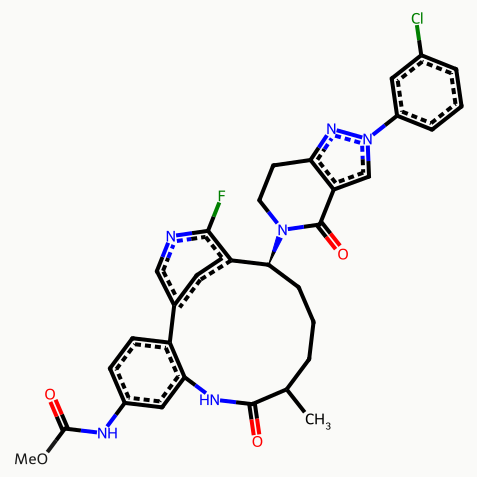 COC(=O)Nc1ccc2c(c1)NC(=O)C(C)CCC[C@H](N1CCc3nn(-c4cccc(Cl)c4)cc3C1=O)c1cc-2cnc1F